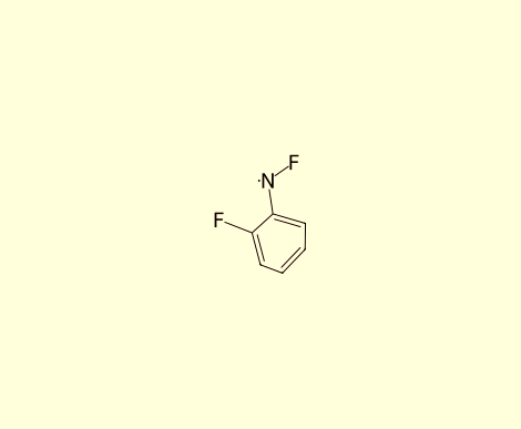 F[N]c1ccccc1F